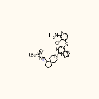 CC(C)(C)[S@@+]([O-])/N=C/C1CCCC12CCN(c1ncc(Sc3ccnc(N)c3Cl)c3nccn13)CC2